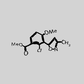 COC(=O)c1ccc(OC)c(-c2cc(C)no2)c1Cl